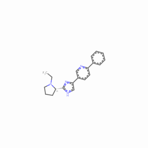 FC(F)(F)CN1CCC[C@H]1c1nc(-c2ccc(-c3ccccc3)nc2)c[nH]1